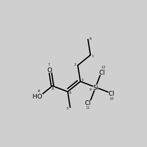 CCCC(=C(C)C(=O)O)[Si](Cl)(Cl)Cl